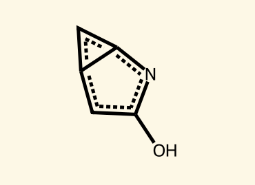 Oc1cc2cc-2n1